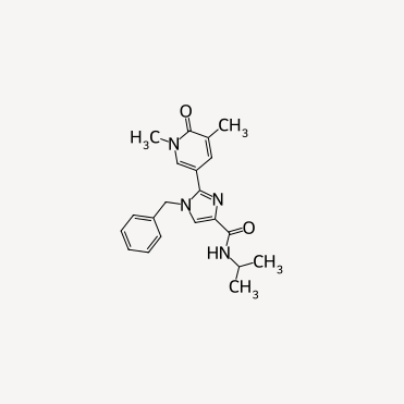 Cc1cc(-c2nc(C(=O)NC(C)C)cn2Cc2ccccc2)cn(C)c1=O